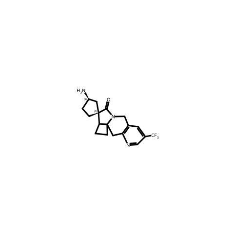 N[C@@H]1CC[C@@]2(C1)C(=O)N1Cc3cc(C(F)(F)F)cnc3CC13CCC32